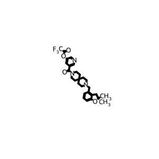 CC1(C)Cc2c(CN3CCC4(CC3)CCN(C(=O)c3cncc(OC(=O)C(F)(F)F)c3)CC4)cccc2O1